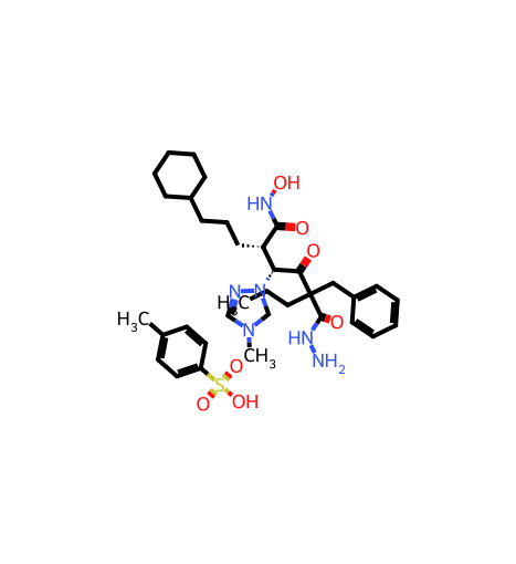 CCCC(Cc1ccccc1)(C(=O)NN)C(=O)[C@@H]([C@H](CCCC1CCCCC1)C(=O)NO)N1CN(C)C=N1.Cc1ccc(S(=O)(=O)O)cc1